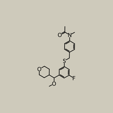 COC(c1cc(F)cc(SCc2ccc(N(C)C(C)=O)cc2)c1)C1CCOCC1